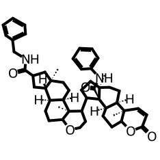 C[C@]12CC[C@@H]3[C@@H](CCC4OCCC(C5CC[C@@]6(C)CC[C@@H]7[C@@H](CCC8OC(=O)C=C[C@@]87C)[C@]56C(=O)Nc5ccccc5)[C@@]43C)[C@@H]1CC(C(=O)NCc1ccccc1)C2